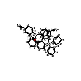 N#Cc1ccc(-n2c3ccccc3c3cc(C#N)ccc32)c(-c2c(C#N)cccc2[Si](c2ccccc2)(c2ccccc2)c2ccccc2)c1